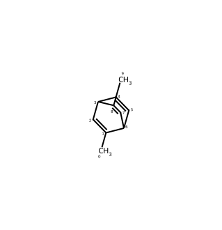 CC1=CC2C=CC1C=C2C